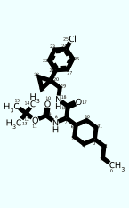 CCCC1CCC(C(NC(=O)OC(C)(C)C)C(=O)NCC2(c3ccc(Cl)cc3)CC2)CC1